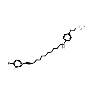 CCOC(=O)CCc1ccc(NCCCCCCCCCCC#Cc2ccc(F)cc2)cc1